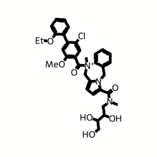 CCOc1ccccc1-c1cc(OC)c(C(=O)[N+]2(C)Cc3ccc(C(=O)N(C)CC(O)C(O)CO)n3Cc3ccccc32)cc1Cl